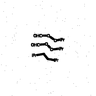 CC(C)CCC(C)C.CC(C)OOC=O.CC(C)OOC=O